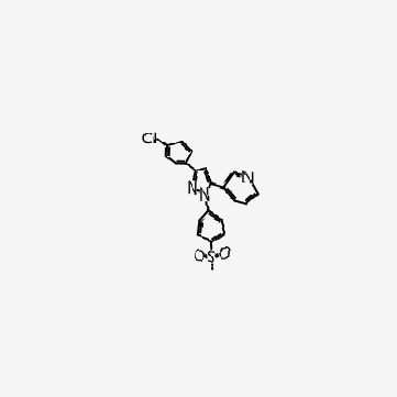 CS(=O)(=O)c1ccc(-n2nc(-c3ccc(Cl)cc3)cc2-c2cccnc2)cc1